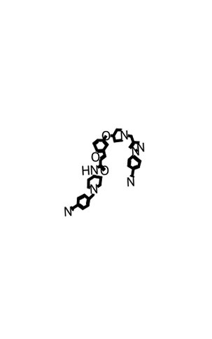 N#Cc1ccc(CN2CCC(NC(=O)c3cc4cc(OC5CCN(Cc6cnn(-c7ccc(C#N)cc7)c6)CC5)ccc4o3)CC2)cc1